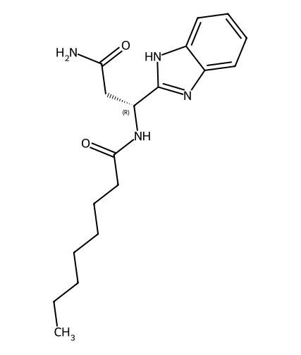 CCCCCCCC(=O)N[C@H](CC(N)=O)c1nc2ccccc2[nH]1